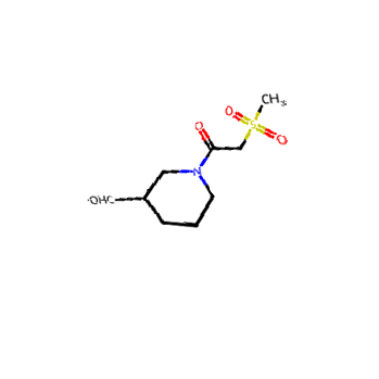 CS(=O)(=O)CC(=O)N1CCCC([C]=O)C1